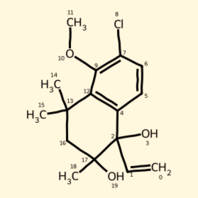 C=CC1(O)c2ccc(Cl)c(OC)c2C(C)(C)CC1(C)O